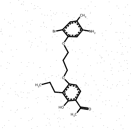 CCCc1c(OCCCOc2cc(N)c(C)cc2Br)ccc(C(C)=O)c1O